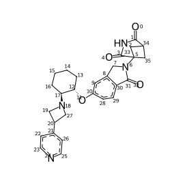 O=C1NC(=O)C2(N3Cc4cc(O[C@H]5CCCC[C@@H]5N5CC(c6ccncc6)C5)ccc4C3=O)CC1C2